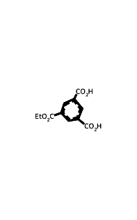 CCOC(=O)c1cc(C(=O)O)cc(C(=O)O)c1